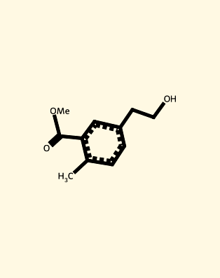 COC(=O)c1cc(CCO)ccc1C